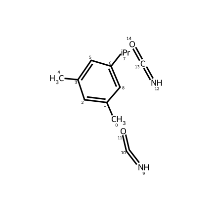 Cc1cc(C)cc(C(C)C)c1.N=C=O.N=C=O